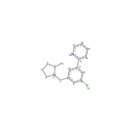 CC1CCCN1Cc1cc(F)cc(-c2ccccn2)c1